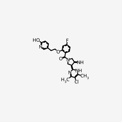 CC1=N/C(=C2\CN(C(=O)c3ccc(F)cc3OCCc3ccc(O)nc3)CC2=N)NC(C)=C1Cl